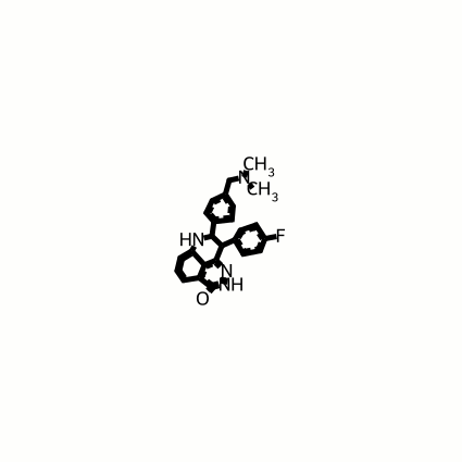 CN(C)Cc1ccc(C2NC3=C=C=Cc4c3c(n[nH]c4=O)C2c2ccc(F)cc2)cc1